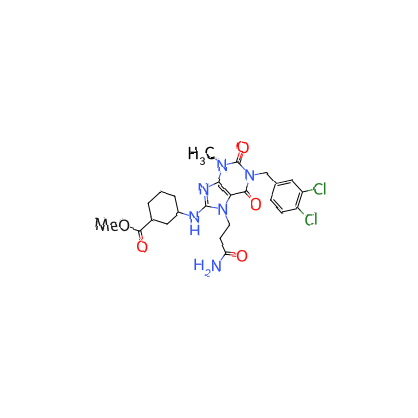 COC(=O)C1CCCC(Nc2nc3c(c(=O)n(Cc4ccc(Cl)c(Cl)c4)c(=O)n3C)n2CCC(N)=O)C1